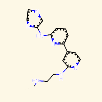 O=C(O)NCCNc1cc(-c2cccc(Nc3cnccn3)n2)ccn1